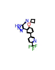 N#Cc1[nH]nnc1-c1cc(-c2ccc(C(F)(F)F)nc2)ccc1OC1CCC1